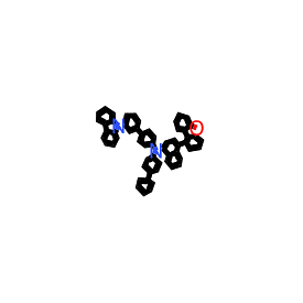 c1ccc(-c2ccc(N(c3ccc(-c4cccc(-n5c6ccccc6c6ccccc65)c4)cc3)c3ccc(-c4cccc5oc6ccccc6c45)c4ccccc34)cc2)cc1